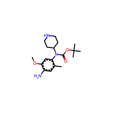 COc1cc(N(C(=O)OC(C)(C)C)C2CCNCC2)c(C)cc1N